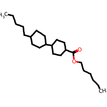 CCCCCCOC(=O)C1CCC(C2CCC(CCCCC)CC2)CC1